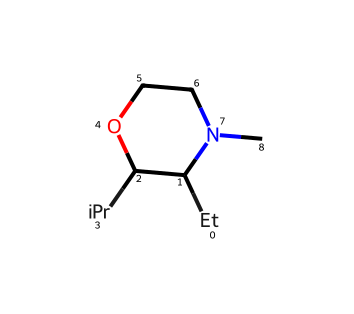 CCC1C(C(C)C)OCCN1C